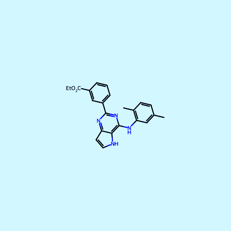 CCOC(=O)c1cccc(-c2nc(Nc3cc(C)ccc3C)c3[nH]ccc3n2)c1